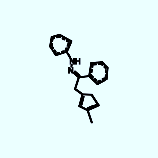 CC1=CCC(CC(=NNc2ccccc2)c2ccccc2)=C1